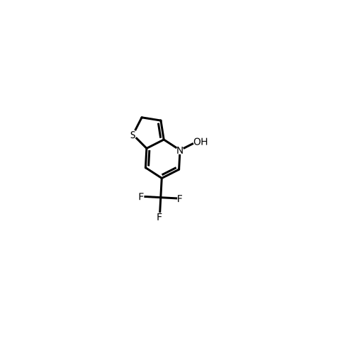 ON1C=C(C(F)(F)F)C=C2SCC=C21